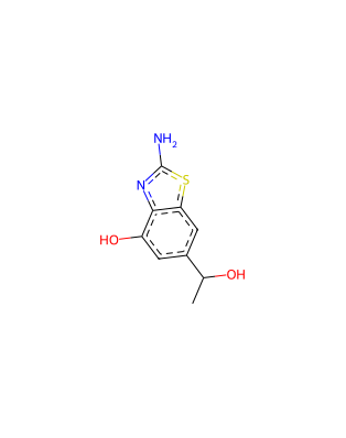 CC(O)c1cc(O)c2nc(N)sc2c1